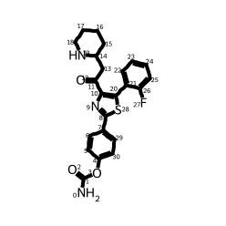 NC(=O)Oc1ccc(-c2nc(C(=O)[CH]C3CCCCN3)c(-c3ccccc3F)s2)cc1